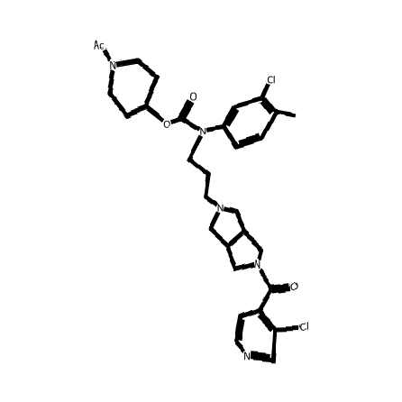 CC(=O)N1CCC(OC(=O)N(CCCN2CC3CN(C(=O)c4ccncc4Cl)CC3C2)c2ccc(C)c(Cl)c2)CC1